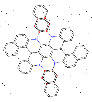 c1ccc(N2c3ccc4ccccc4c3B3c4ccccc4N(c4ccc5ccccc5c4)c4c3c2c2c3c4N(c4ccccc4)c4ccc5ccccc5c4B3c3ccccc3N2c2ccc3ccccc3c2)cc1